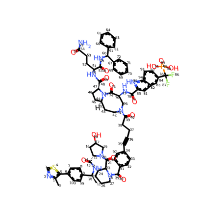 Cc1ncsc1-c1ccc([C@H](C)NC(=O)[C@@H]2C[C@@H](O)CN2C(=O)C2CCCCN2C(=O)c2ccc(C#CCCC(=O)N3CC[C@H]4CC[C@@H](C(=O)NC(CCC(N)=O)C(=O)NC(c5ccccc5)c5ccccc5)N4C(=O)[C@@H](NC(=O)c4cc5cc(C(F)(F)P(=O)(O)O)ccc5[nH]4)C3)cc2)cc1